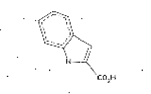 O=C(O)C1=Cc2cc[c]cc2[N]1